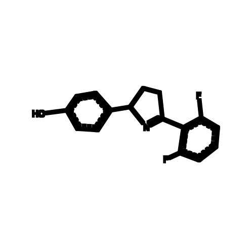 Oc1ccc(C2CCC(c3c(F)cccc3F)=N2)cc1